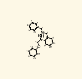 c1ccc(C[SiH](Cc2ccccc2)OCCOc2ccccc2)cc1